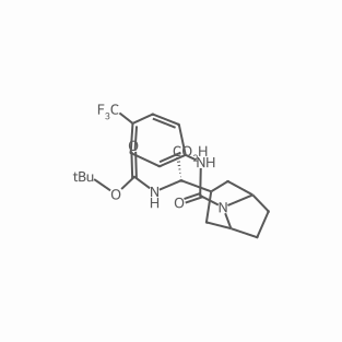 CC(C)(C)OC(=O)N[C@H](C(=O)O)C1CC2CCC(C1)N2C(=O)Nc1ccc(C(F)(F)F)cc1